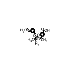 COCc1cccc(COC(C(=O)N[C@@H](C)c2ccc(C(=O)O)cc2)C(C)C)c1